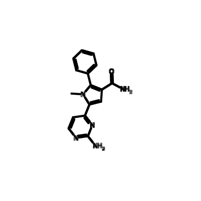 Cn1c(-c2ccnc(N)n2)cc(C(N)=O)c1-c1ccccc1